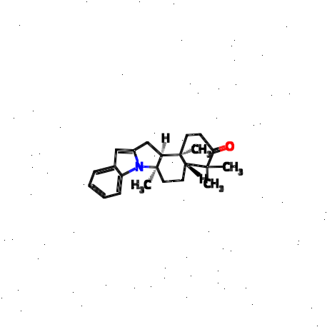 CC1(C)C(=O)CC[C@@]2(C)[C@H]1CC[C@]1(C)[C@H]2Cc2cc3ccccc3n21